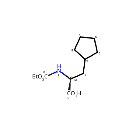 CCOC(=O)N[C@@H](CC1CCCC1)C(=O)O